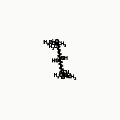 CCOC(=O)C(C)(C)CCCCCC[C@H](O)[C@@H](O)CCCCCCC(C)(C)C(=O)OCC